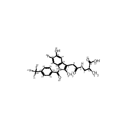 Cc1c(CC(=O)NCC(C)C(=O)O)c2cc(O)c(F)cc2n1C(=O)c1ccc(C(F)(F)F)cc1